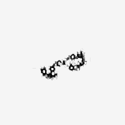 CCNC(=O)c1noc(-c2cc(C(C)C)c(O)cc2O)c1-c1ccc(CN2CCN(C(=O)OCCN3CCN(c4cc(Nc5ncc(C(=O)Nc6c(C)cccc6Cl)s5)nc(C)n4)CC3)CC2)cc1